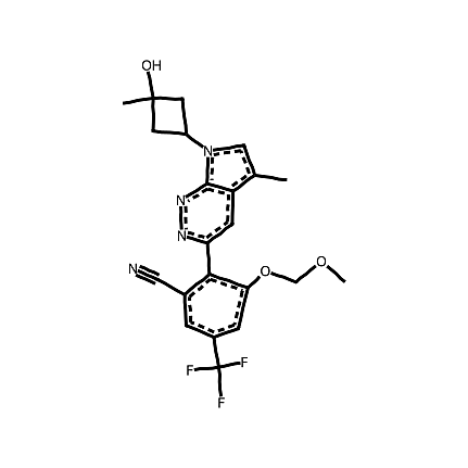 COCOc1cc(C(F)(F)F)cc(C#N)c1-c1cc2c(C)cn(C3CC(C)(O)C3)c2nn1